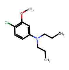 CCCN(CCC)c1ccc(Cl)c(OC)c1